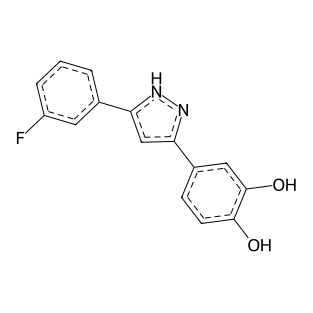 Oc1ccc(-c2cc(-c3cccc(F)c3)[nH]n2)cc1O